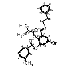 Cc1cccc(C(=O)Oc2cc(Br)cc(C=NCCc3ccccc3)c2OC(=O)C(C)C)c1